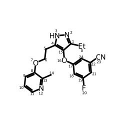 CCc1n[nH]c(CCOc2cccnc2C)c1Oc1cc(F)cc(C#N)c1